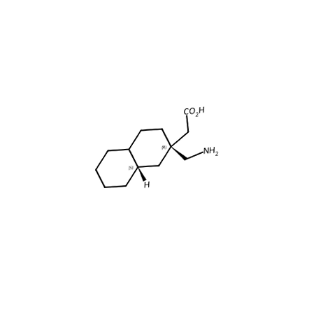 NC[C@]1(CC(=O)O)CCC2CCCC[C@H]2C1